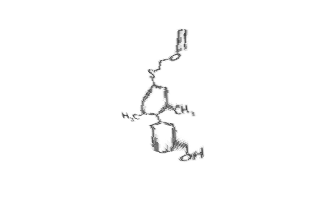 CCOCCSc1cc(C)c(-c2cccc(CO)c2)c(C)c1